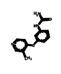 Cc1cnccc1Oc1cccc(NC(N)=O)c1